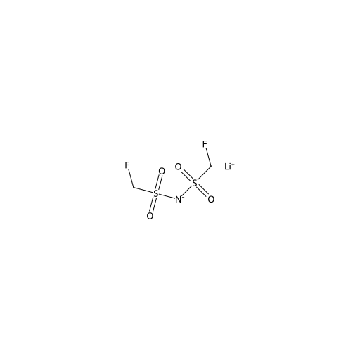 O=S(=O)(CF)[N-]S(=O)(=O)CF.[Li+]